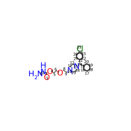 NNC(=O)OCCOCCN1CCN(C(c2ccccc2)c2ccc(Cl)cc2)CC1